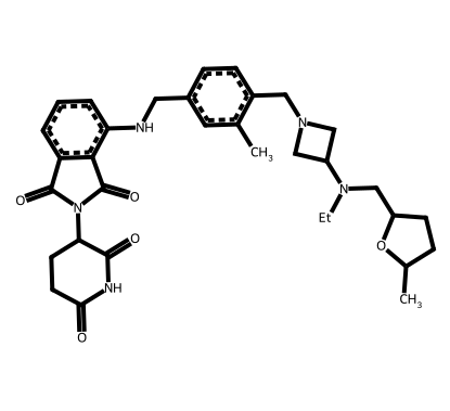 CCN(CC1CCC(C)O1)C1CN(Cc2ccc(CNc3cccc4c3C(=O)N(C3CCC(=O)NC3=O)C4=O)cc2C)C1